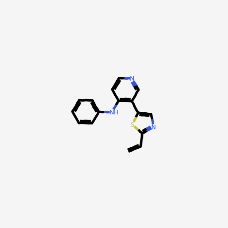 C=Cc1ncc(-c2cnccc2Nc2ccccc2)s1